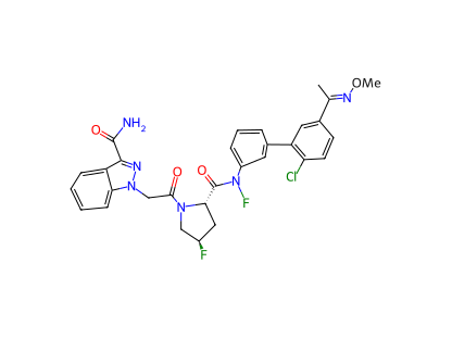 CO/N=C(\C)c1ccc(Cl)c(-c2cccc(N(F)C(=O)[C@@H]3C[C@@H](F)CN3C(=O)Cn3nc(C(N)=O)c4ccccc43)c2)c1